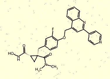 CN(C)C(=O)[C@@]1(Cc2ccc(OCc3cc(-c4ccncc4)nc4ccccc34)c(F)c2)C[C@@H]1C(=O)NO